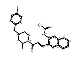 CC1CN(Cc2ccc(F)cc2)CCN1C(=O)/C=C/c1cc2cccnc2cc1NC(N)=O